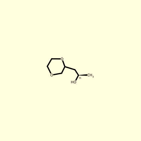 C[C@@H](O)CC1COCCO1